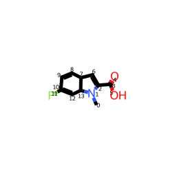 CN1C(C(=O)O)=CC2C=CC(F)=CC21